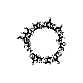 C/C=C/CC(C)C(CC)C1C(=O)NC(CC)C(=O)N(C)CC(=O)N(C)C(CC(C)C)C(=O)NC(C(C)C)C(=O)N(C)C(CC(C)C)C(=O)NC(C)C(=O)NC(C)C(=O)N(C)C(CC(C)C)C(=O)N(C)C(CC(C)C)C(=O)N(C)C(C(C)C)C(=O)N1C